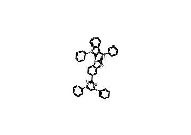 c1ccc(-c2cc(-c3ccccc3)nc(-c3ccc4c(c3)nc3n(-c5ccccc5)c5c6ccccc6n(-c6ccccc6)c5n43)n2)cc1